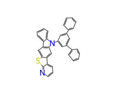 c1ccc(-c2cc(-c3ccccc3)cc(-n3c4ccccc4c4cc5sc6ncccc6c5cc43)c2)cc1